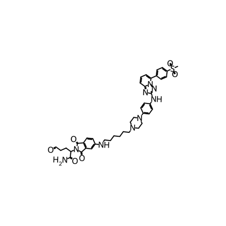 CS(=O)(=O)c1ccc(-c2cccc3nc(Nc4ccc(N5CCN(CCCCCCNc6ccc7c(c6)C(=O)N(C(CCC=O)C(N)=O)C7=O)CC5)cc4)nn23)cc1